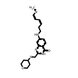 C=N/C=C\C=C/CCNc1ccc2c(=O)[nH]c(CSC3CCOCC3)nc2c1